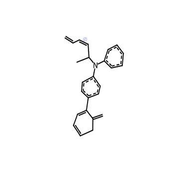 C=C/C=C\C(C)N(c1ccccc1)c1ccc(C2=CC=CCC2=C)cc1